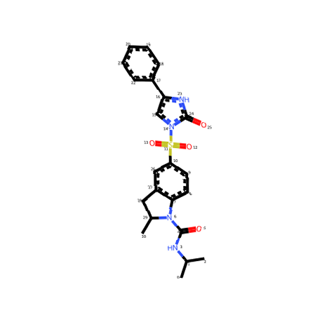 CC(C)NC(=O)N1c2ccc(S(=O)(=O)n3cc(-c4ccccc4)[nH]c3=O)cc2CC1C